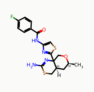 C[C@H]1C[C@H]2CSC(N)=NC2(c2nc(NC(=O)c3ccc(F)cc3)cs2)CO1